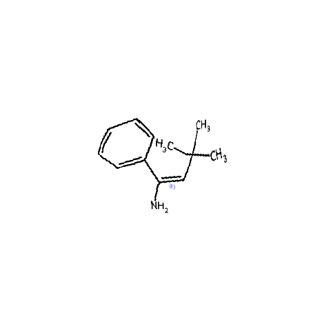 CC(C)(C)/C=C(/N)c1ccccc1